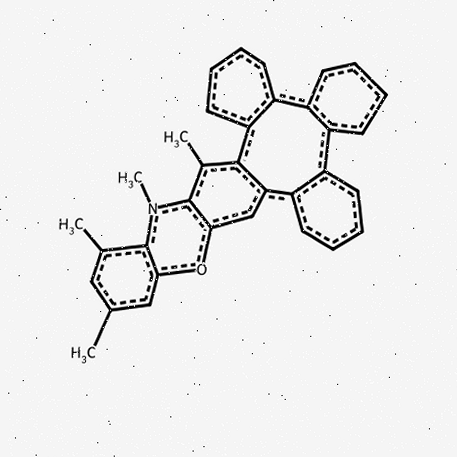 Cc1cc(C)c2c(c1)oc1cc3c4ccccc4c4ccccc4c4ccccc4c3c(C)c1n2C